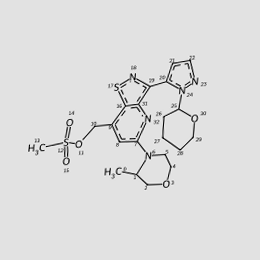 CC1COCCN1c1cc(COS(C)(=O)=O)c2snc(-c3ccnn3C3CCCCO3)c2n1